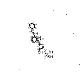 O=P(O)(O)OC[C@H]1O[C@@H](n2cnc3c(NCc4ccccc4)ncnc32)C[C@@H]1O